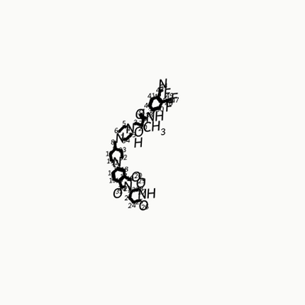 CC(O)(CN1CCN(CC2CCN(c3ccc4c(c3)C(=O)N(C3CCC(=O)NC3=O)C4=O)CC2)CC1)C(=O)Nc1ccc(C#N)c(C(F)(F)F)c1